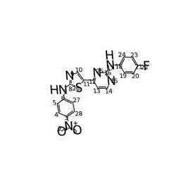 O=[N+]([O-])c1ccc(Nc2ncc(-c3ccnc(Nc4ccc(F)cc4)n3)s2)cc1